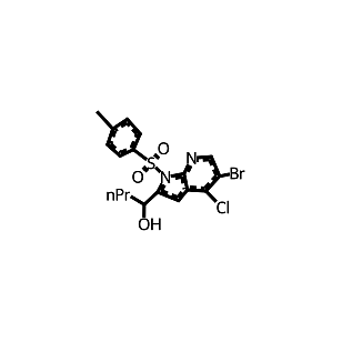 CCCC(O)c1cc2c(Cl)c(Br)cnc2n1S(=O)(=O)c1ccc(C)cc1